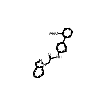 COc1ccccc1-c1ccc(NC(=O)Cn2ncc3ccccc32)cc1